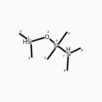 C[SiH](C)O[Si](C)(C)[SiH](C)C